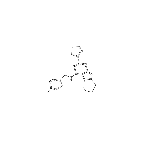 Fc1ccc(CNc2nc(-n3cccn3)nc3sc4c(c23)CCCC4)cc1